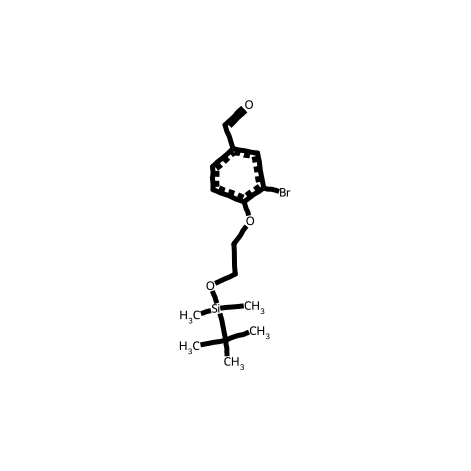 CC(C)(C)[Si](C)(C)OCCOc1ccc(C=O)cc1Br